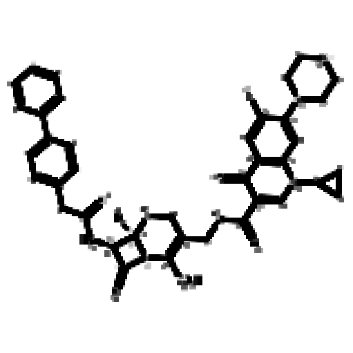 O=C(Cc1ccc(-c2ccccc2)cc1)N[C@@H]1C(=O)N2C(C(=O)O)=C(COC(=O)c3cn(C4CC4)c4cc(N5CCNCC5)c(F)cc4c3=O)CS[C@H]12